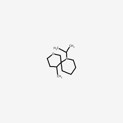 CC(C)N1CCCCC12COCCC2C